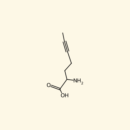 CC#CCCC(N)C(=O)O